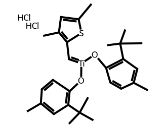 Cc1ccc([O][Ti](=[CH]c2sc(C)cc2C)[O]c2ccc(C)cc2C(C)(C)C)c(C(C)(C)C)c1.Cl.Cl